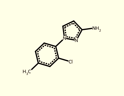 Cc1ccc(-n2ccc(N)n2)c(Cl)c1